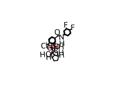 O=C(Nc1ccc(F)c(F)c1)c1ccc(Cl)c(S(=O)(=O)[C@@H]2C[C@H]3CC[C@@H](C2)[C@@]3(O)C(O)c2ncc[nH]2)c1